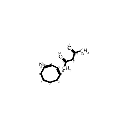 C1=CCCCCC=C1.CC(=O)CC(C)=O.[Ni]